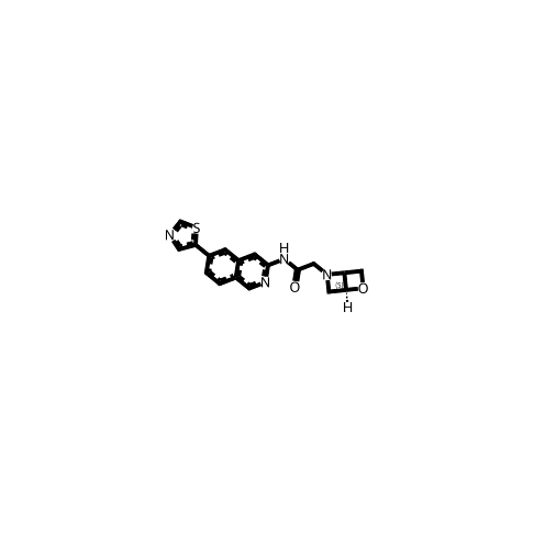 O=C(CN1C[C@@H]2OCC21)Nc1cc2cc(-c3cncs3)ccc2cn1